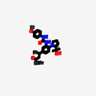 CCOc1ccc(NC(=O)Nc2cc(C(CC)CC(=O)OC)ccc2N2CCC[C@H]2C(C)(C)O)cc1